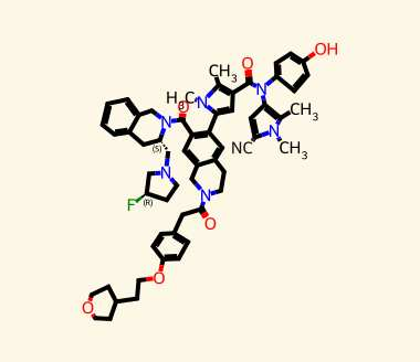 Cc1c(N(C(=O)c2cc(-c3cc4c(cc3C(=O)N3Cc5ccccc5C[C@H]3CN3CC[C@@H](F)C3)CN(C(=O)Cc3ccc(OCCC5CCOCC5)cc3)CC4)n(C)c2C)c2ccc(O)cc2)cc(C#N)n1C